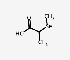 C[Se]C(C)C(=O)O